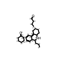 CCCC1NC2CCCCC2=C2C=CC=CC21.CCCC=O.O=C1CCCCC1